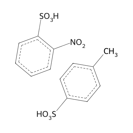 Cc1ccc(S(=O)(=O)O)cc1.O=[N+]([O-])c1ccccc1S(=O)(=O)O